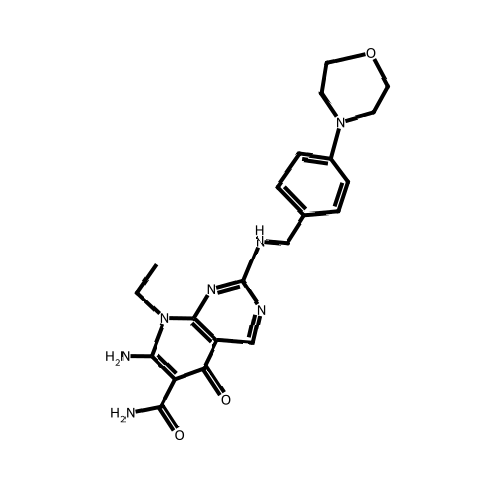 CCn1c(N)c(C(N)=O)c(=O)c2cnc(NCc3ccc(N4CCOCC4)cc3)nc21